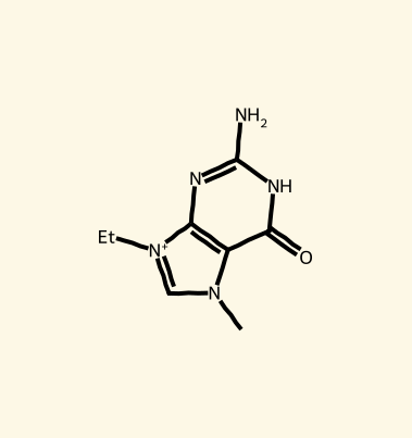 CC[n+]1cn(C)c2c(=O)[nH]c(N)nc21